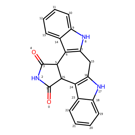 O=C1NC(=O)C2c3c([nH]c4ccccc34)Cc3[nH]c4ccccc4c3C12